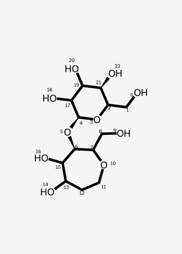 OCC1O[C@@H](O[C@H]2C(CO)OCCC(O)C2O)C(O)C(O)[C@H]1O